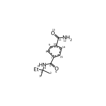 CCC(C)(C)NC(=O)c1ccc(C(N)=O)cc1